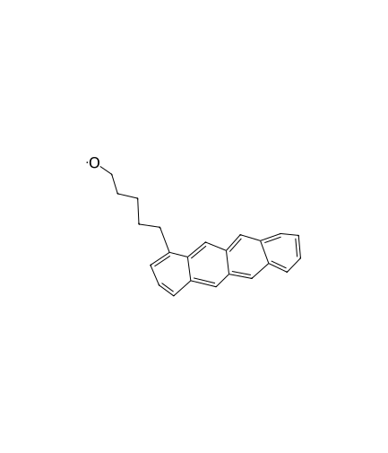 [O]CCCCCc1cccc2cc3cc4ccccc4cc3cc12